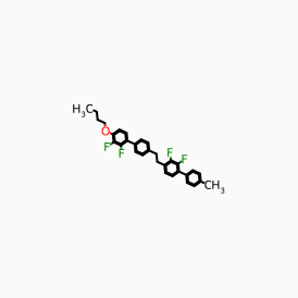 CCCCOc1ccc(-c2ccc(CCc3ccc(-c4ccc(C)cc4)c(F)c3F)cc2)c(F)c1F